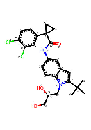 CC(C)(C)c1cc2cc(NC(=O)C3(c4ccc(Cl)c(Cl)c4)CC3)ccc2n1C[C@H](O)CO